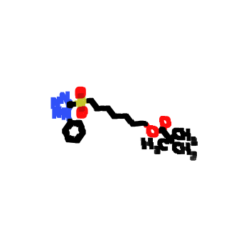 CC(C)(C)C(=O)OCCCCCCCS(=O)(=O)c1nnnn1-c1ccccc1